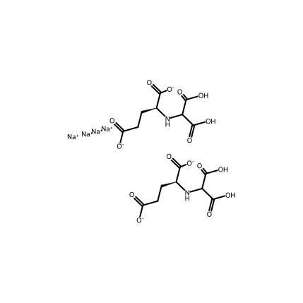 O=C([O-])CC[C@H](NC(C(=O)O)C(=O)O)C(=O)[O-].O=C([O-])CC[C@H](NC(C(=O)O)C(=O)O)C(=O)[O-].[Na+].[Na+].[Na+].[Na+]